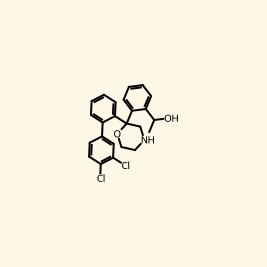 CC(O)c1ccccc1C1(c2ccccc2-c2ccc(Cl)c(Cl)c2)CNCCO1